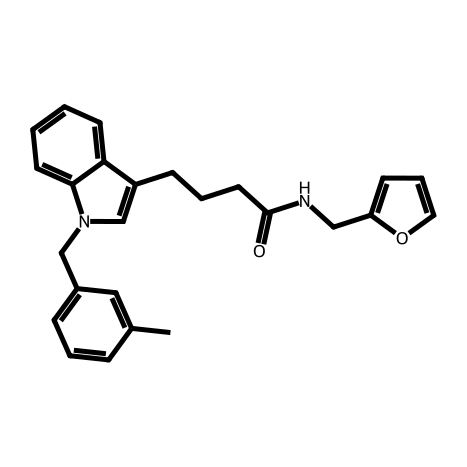 Cc1cccc(Cn2cc(CCCC(=O)NCc3ccco3)c3ccccc32)c1